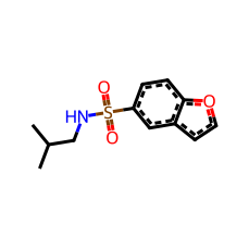 CC(C)CNS(=O)(=O)c1ccc2occc2c1